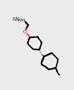 CCCCCCCCCCO[C@H]1CC[C@H](C2CCC(C)CC2)CC1